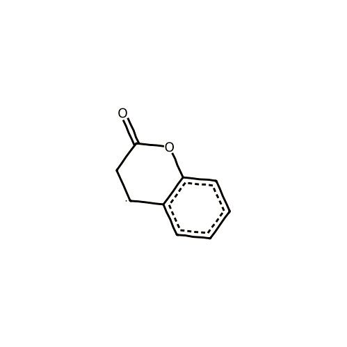 O=C1C[CH]c2ccccc2O1